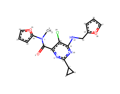 CN(C(=O)c1nc(C2CC2)nc(NCc2ccco2)c1Cl)c1ccco1